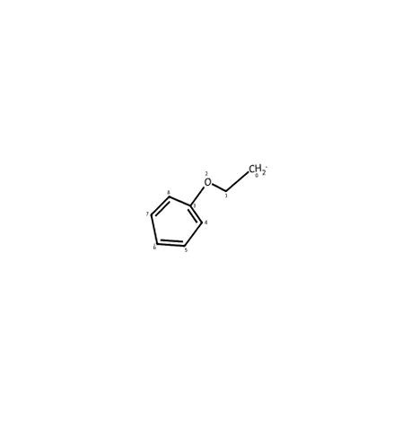 [CH2]COc1cc[c]cc1